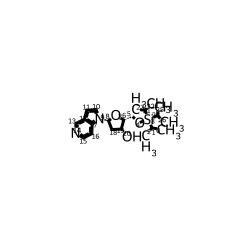 CC(C)[Si](OC[C@H]1O[C@@H](n2ccc3cnccc32)C[C@@H]1O)(C(C)C)C(C)C